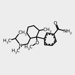 COC1(c2cccc(C(N)=O)c2)C(C)CCCC1CN(C)C(C)C